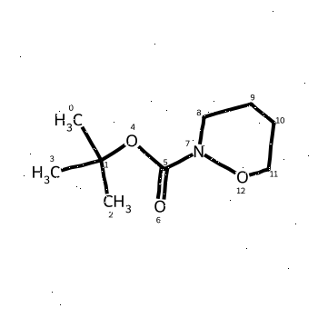 CC(C)(C)OC(=O)N1CCCCO1